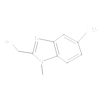 COc1ccc2c(c1)nc(CO)n2C